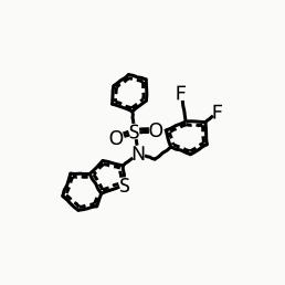 O=S(=O)(c1ccccc1)N(Cc1ccc(F)c(F)c1)c1cc2ccccc2s1